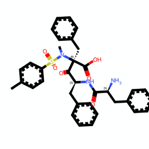 Cc1ccc(S(=O)(=O)N(C)[C@@](Cc2ccccc2)(C(=O)O)C(=O)[C@H](Cc2ccccc2)NC(=O)[C@@H](N)Cc2ccccc2)cc1